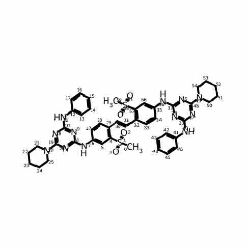 CS(=O)(=O)c1cc(Nc2nc(Nc3ccccc3)nc(N3CCCCC3)n2)ccc1/C=C/c1ccc(Nc2nc(Nc3ccccc3)nc(N3CCCCC3)n2)cc1S(C)(=O)=O